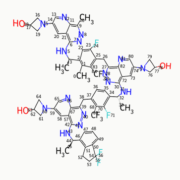 Cc1c([C@@H](C)Nc2nnc(C)c3ncc(N4CC(O)C4)cc23)cc(F)c(Cc2nnc(N[C@H](C)c3ccc(Cc4nnc(N[C@H](C)c5cccc6c5CCC6(F)F)c5cc(N6CC(O)C6)cnc45)c(C(F)(F)F)c3F)c3cc(N4CC(O)C4)cnc23)c1C(F)(F)F